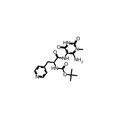 Cn1c(N)c(NC(=O)C(Cc2ccncc2)NC(=O)OC(C)(C)C)c(=O)[nH]c1=O